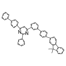 CC1(C)c2ccccc2-c2ccc(-c3ccc(-c4cccc(-c5cc(-c6ccc(-c7ccccc7)cc6)nc(-c6ccccc6)n5)c4)cc3)cc21